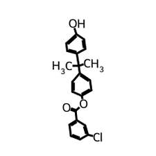 CC(C)(c1ccc(O)cc1)c1ccc(OC(=O)c2cccc(Cl)c2)cc1